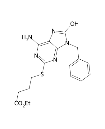 CCOC(=O)CCCSc1nc(N)c2nc(O)n(Cc3ccccc3)c2n1